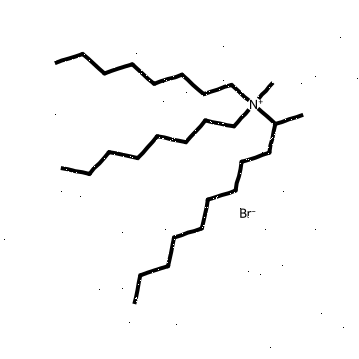 CCCCCCCCCC(C)[N+](C)(CCCCCCCC)CCCCCCCC.[Br-]